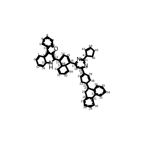 C1=CC2=c3c(oc4ccccc34)=C(C3=CC=C(c4cc(C5=CCC(C6Cc7ccccc7-c7ccccc76)C=C5)nc(C5C=CCC5)n4)C4C=CC=CC34)NC2C=C1